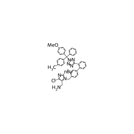 CCCCc1nc(Cl)c(CN)n1Cc1ccc(-c2ccccc2-c2nnn(C(c3ccccc3)(c3ccc(C)cc3)c3ccc(OC)cc3)n2)cc1